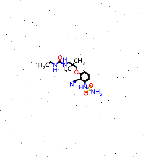 CCNC(=O)NCC(C)(C)COc1cccc(NS(N)(=O)=O)c1C#N